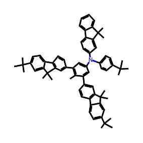 Cc1c(-c2ccc3c(c2)C(C)(C)c2cc(C(C)(C)C)ccc2-3)cc(N(c2ccc(C(C)(C)C)cc2)c2ccc3c(c2)C(C)(C)c2ccccc2-3)cc1-c1ccc2c(c1)C(C)(C)c1cc(C(C)(C)C)ccc1-2